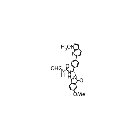 COc1ccc2c(c1)C(=O)N(C[C@H](NC(=O)NC=O)c1ccc(-c3ccc4ccn(C)c4n3)cc1)C2